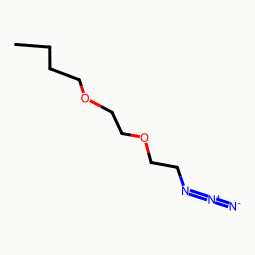 CCCCOCCOCCN=[N+]=[N-]